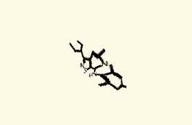 CCC(CC)c1nsc2c(Nc3c(C)cc(C)cc3C)nc(C)cc12